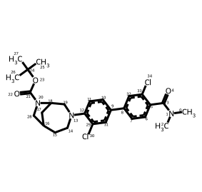 CN(C)C(=O)c1ccc(-c2ccc(N3CCC4CC(C3)N(C(=O)OC(C)(C)C)C4)c(Cl)c2)cc1Cl